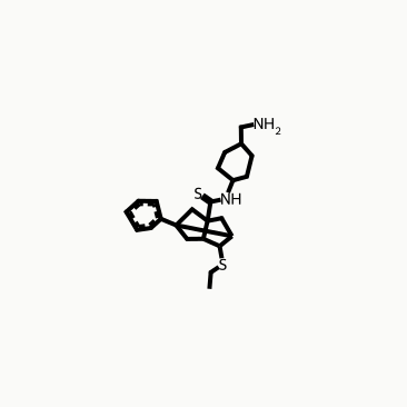 CCSC1C2CC3(c4ccccc4)CC2(C(=S)NC2CCC(CN)CC2)CC13